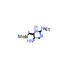 C=N/C(=N\CC)N/C(C=N)=C/NC